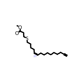 C#CCCCCCCC/C=C\CCCCSCCC(=O)OC